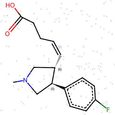 CN1C[C@H](c2ccc(F)cc2)[C@@H](/C=C\CCC(=O)O)C1